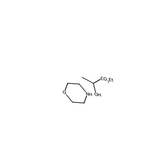 C1COCCN1.CCOC(=O)C(C)O